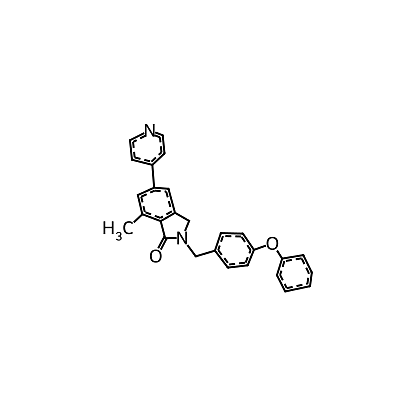 Cc1cc(-c2ccncc2)cc2c1C(=O)N(Cc1ccc(Oc3ccccc3)cc1)C2